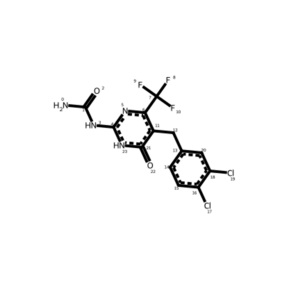 NC(=O)Nc1nc(C(F)(F)F)c(Cc2ccc(Cl)c(Cl)c2)c(=O)[nH]1